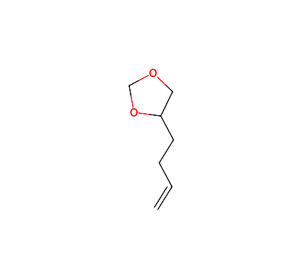 C=CCCC1COCO1